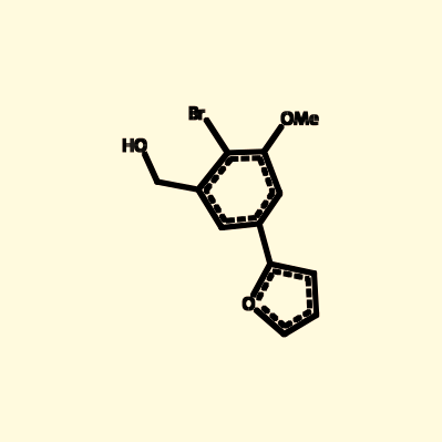 COc1cc(-c2ccco2)cc(CO)c1Br